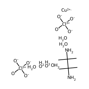 CC(C)(N)C(C)(C)N.O.O.O.O.O.O.[Cu+2].[O-][Cl+3]([O-])([O-])[O-].[O-][Cl+3]([O-])([O-])[O-]